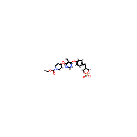 CCOC(=O)N1CCC(Oc2ncnc(Oc3ccc(CC4COS(O)(O)OC4)cc3)c2C)CC1